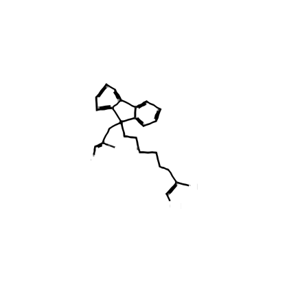 CC=C(C)CCCCCCC1(CC(=CC)CCCCCC)c2ccccc2-c2ccccc21